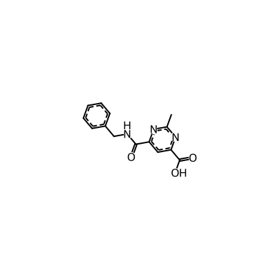 Cc1nc(C(=O)O)cc(C(=O)NCc2ccccc2)n1